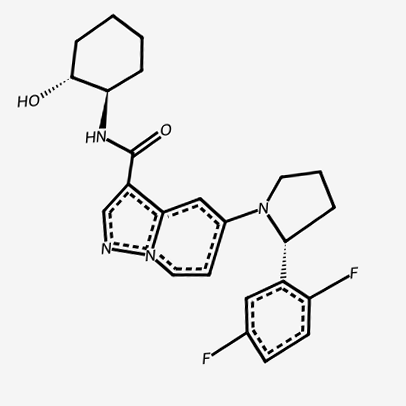 O=C(N[C@@H]1CCCC[C@H]1O)c1cnn2ccc(N3CCC[C@@H]3c3cc(F)ccc3F)cc12